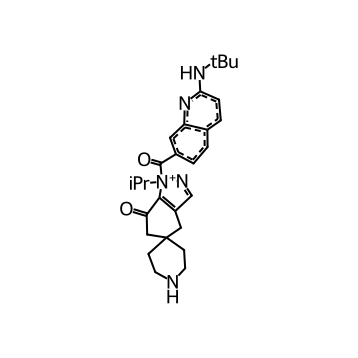 CC(C)[N+]1(C(=O)c2ccc3ccc(NC(C)(C)C)nc3c2)N=CC2=C1C(=O)CC1(CCNCC1)C2